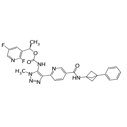 C[C@@H](OC(=O)Nc1c(-c2ccc(C(=O)NC34CC(c5ccccc5)(C3)C4)cn2)nnn1C)c1cc(F)cnc1F